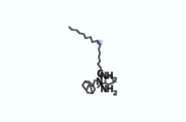 CCCCCCCC/C=C\CCCCCCCC(N)N(CC12CC3CC(CC(C3)C1)C2)C(C)(N)C1CCCCC1